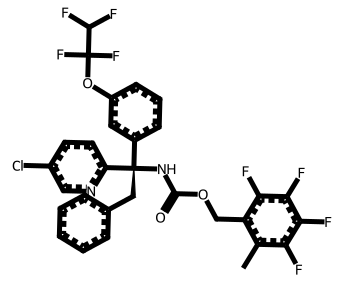 Cc1c(F)c(F)c(F)c(F)c1COC(=O)N[C@@](Cc1ccccc1)(c1cccc(OC(F)(F)C(F)F)c1)c1ccc(Cl)cn1